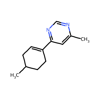 Cc1cc(C2=CCC(C)CC2)ncn1